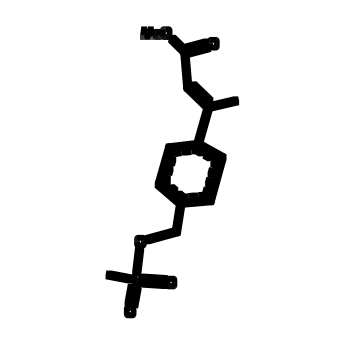 COC(=O)C=C(C)c1ccc(COS(C)(=O)=O)cc1